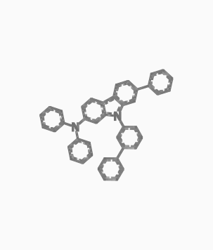 c1ccc(-c2cccc(-n3c4cc(-c5ccccc5)ccc4c4ccc(N(c5ccccc5)c5ccccc5)cc43)c2)cc1